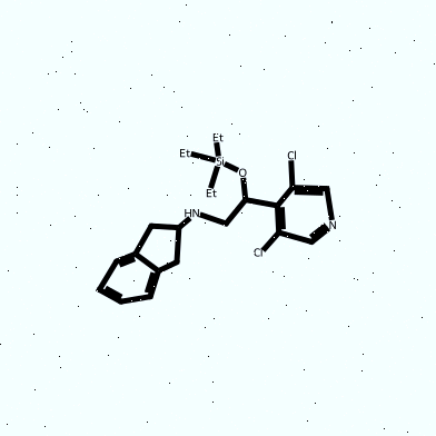 CC[Si](CC)(CC)OC(CNC1Cc2ccccc2C1)c1c(Cl)cncc1Cl